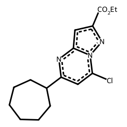 CCOC(=O)c1cc2nc(C3CCCCCC3)cc(Cl)n2n1